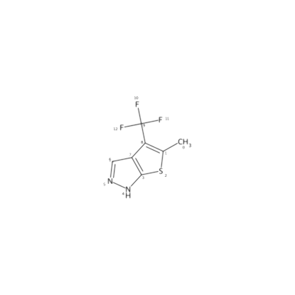 Cc1sc2[nH]n[c]c2c1C(F)(F)F